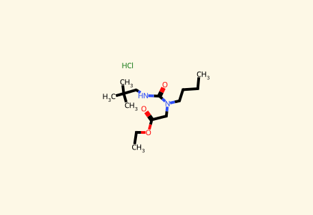 CCCCN(CC(=O)OCC)C(=O)NCC(C)(C)C.Cl